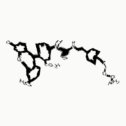 NOOSc1ccc(CCNC(=S)Nc2ccc(-c3c4ccc(=O)cc-4oc4cc(O)ccc34)c(C(=O)O)c2)cc1